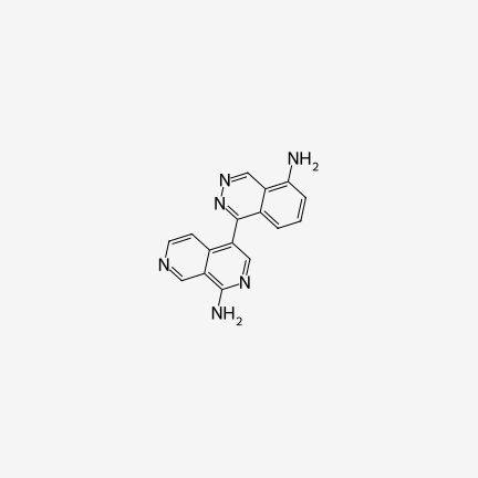 Nc1cccc2c(-c3cnc(N)c4cnccc34)nncc12